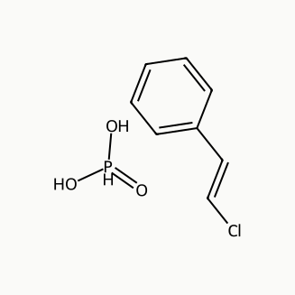 ClC=Cc1ccccc1.O=[PH](O)O